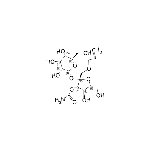 C=CCOC[C@@]1(O[C@H]2O[C@H](CO)[C@@H](O)[C@H](O)[C@H]2O)O[C@H](CO)[C@@H](O)[C@@H]1OC(N)=O